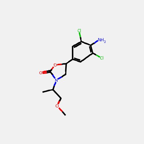 COCC(C)N1CC(c2cc(Cl)c(N)c(Cl)c2)OC1=O